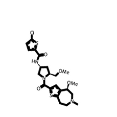 COC[C@@H]1C[C@@H](NC(=O)c2ccc(Cl)s2)CN1C(=O)c1cc2c(s1)CCN(C)C[C@@H]2OC